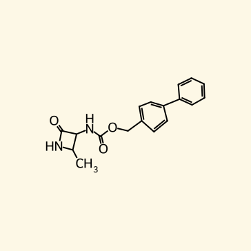 CC1NC(=O)C1NC(=O)OCc1ccc(-c2ccccc2)cc1